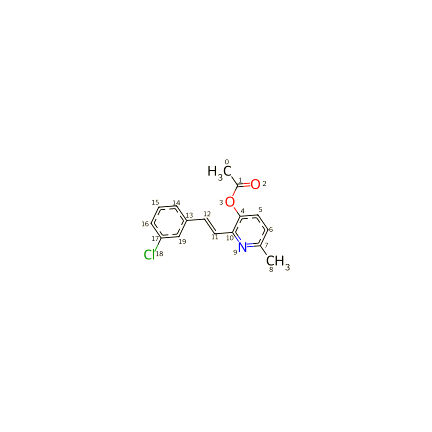 CC(=O)Oc1ccc(C)nc1C=Cc1cccc(Cl)c1